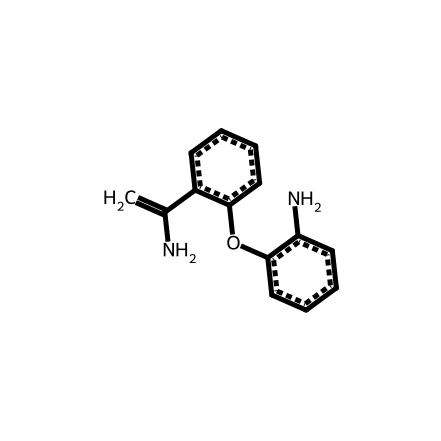 C=C(N)c1ccccc1Oc1ccccc1N